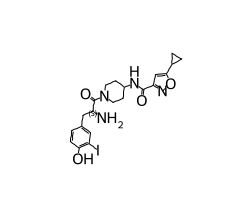 N[C@@H](Cc1ccc(O)c(I)c1)C(=O)N1CCC(NC(=O)c2cc(C3CC3)on2)CC1